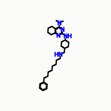 CN(C)c1nc(NC2CCC(CNCCCCCCCCc3ccccc3)CC2)nc2c1CCCC2